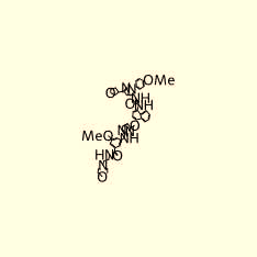 COc1ccc(-n2nc(C3CCOC3)cc2NC(=O)Nc2ccc(Oc3ccnc(Nc4cc(OC)cc(C(=O)NCCN5CCOCC5)c4)n3)c3ccccc23)cc1